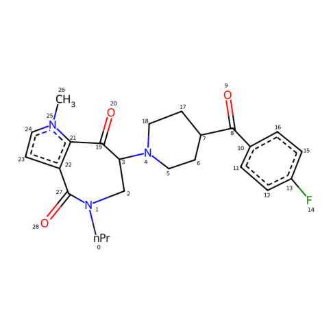 CCCN1CC(N2CCC(C(=O)c3ccc(F)cc3)CC2)C(=O)c2c(ccn2C)C1=O